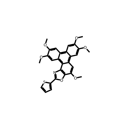 COc1cc2c3cc(OC)c(OC)cc3c3c(cc(OC)c4oc(-c5cccs5)nc43)c2cc1OC